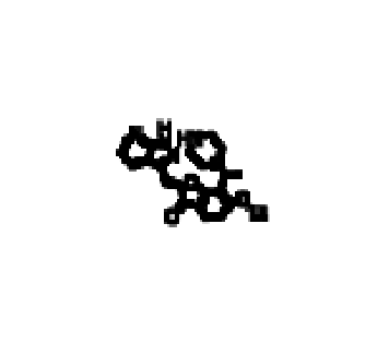 CCOc1ccc2c(c1C(C)N1CCNCC1)OC(=Cc1n[nH]c3ncccc13)C2=O